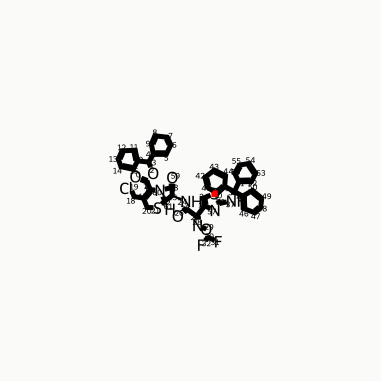 O=C(OC(c1ccccc1)c1ccccc1)C1=C(CCl)CS[C@@H]2[C@H](NC(=O)/C(=N/OC(F)F)c3csc(NC(c4ccccc4)(c4ccccc4)c4ccccc4)n3)C(=O)N12